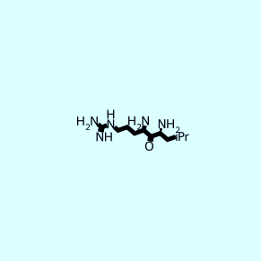 CC(C)C[C@H](N)C(=O)C(N)CCCNC(=N)N